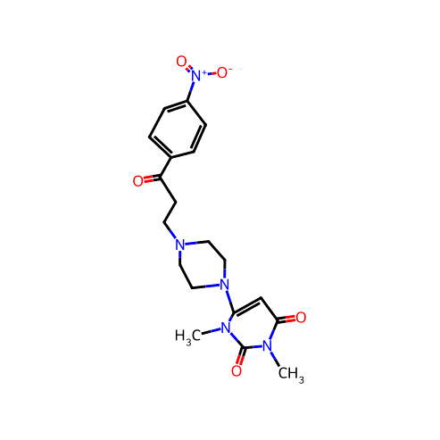 Cn1c(N2CCN(CCC(=O)c3ccc([N+](=O)[O-])cc3)CC2)cc(=O)n(C)c1=O